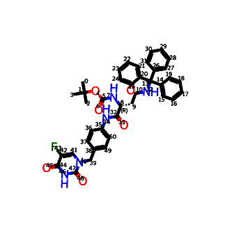 CC(C)(C)OC(=O)N[C@H](CC(=O)NC(c1ccccc1)(c1ccccc1)c1ccccc1)C(=O)Nc1ccc(Cn2cc(F)c(=O)[nH]c2=O)cc1